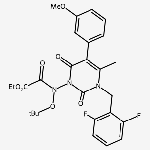 CCOC(=O)C(=O)N(OC(C)(C)C)n1c(=O)c(-c2cccc(OC)c2)c(C)n(Cc2c(F)cccc2F)c1=O